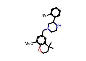 COc1cc(CN2CCNC(c3ccccc3C(C)C)C2)cc2c1OCCC2(C)C